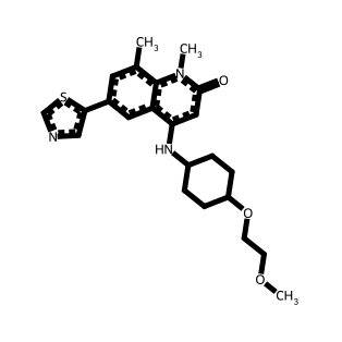 COCCOC1CCC(Nc2cc(=O)n(C)c3c(C)cc(-c4cncs4)cc23)CC1